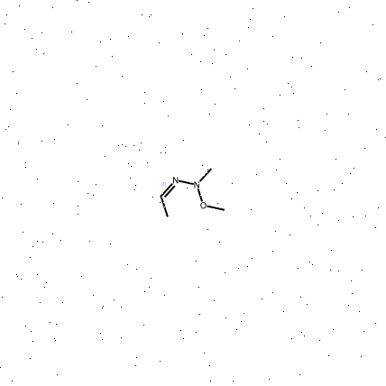 C/C=N\N(C)OC